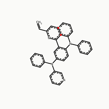 C=Cc1cccc(-c2cc(N(c3ccccc3)c3cccnc3)ccc2N(c2ccccc2)c2cccnc2)n1